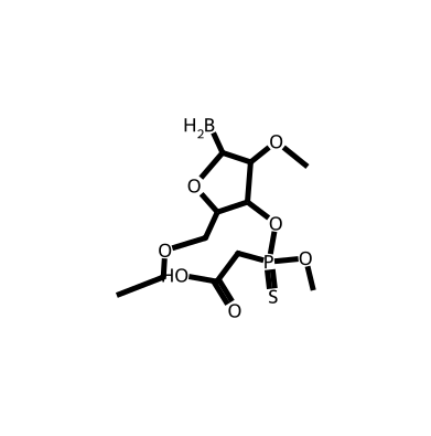 BC1OC(COCC)C(OP(=S)(CC(=O)O)OC)C1OC